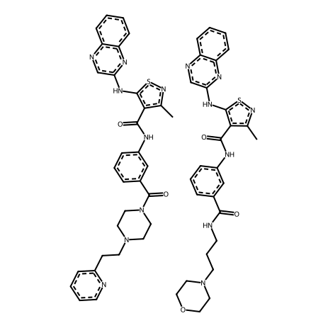 Cc1nsc(Nc2cnc3ccccc3n2)c1C(=O)Nc1cccc(C(=O)N2CCN(CCc3ccccn3)CC2)c1.Cc1nsc(Nc2cnc3ccccc3n2)c1C(=O)Nc1cccc(C(=O)NCCCN2CCOCC2)c1